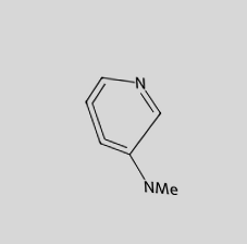 CNC1=C=C=CN=C1